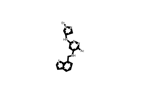 CCn1cc(Nc2cc(NCc3cccc4ccsc34)c(C(C)=O)nn2)cn1